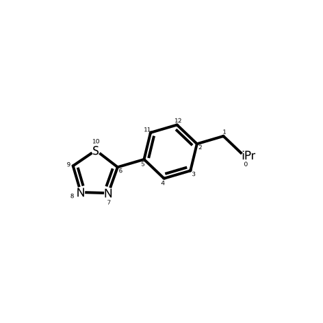 CC(C)Cc1ccc(-c2nncs2)cc1